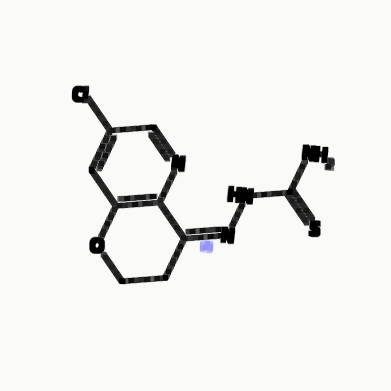 NC(=S)N/N=C1/CCOc2cc(Cl)cnc21